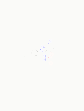 CCOCC(=O)Nc1c(C(=O)C(F)(F)F)c(C#N)nn1-c1c(Cl)cc(C(F)(F)F)cc1Cl